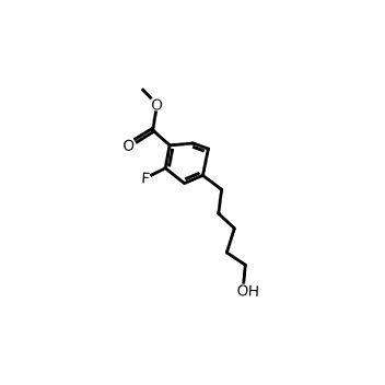 COC(=O)c1ccc(CCCCCO)cc1F